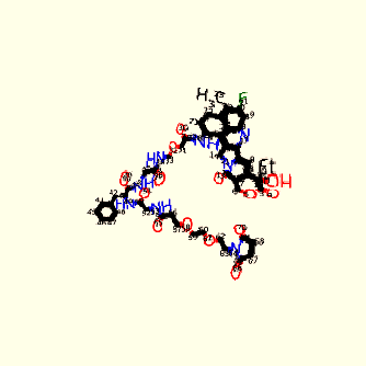 CC[C@@]1(O)C(=O)OCc2c1cc1n(c2=O)Cc2c-1nc1cc(F)c(C)c3c1c2[C@@H](NC(=O)COCNC(=O)CNC(=O)[C@H](Cc1ccccc1)NC(=O)CNC(=O)CCOCCOCCN1C(=O)C=CC1=O)CC3